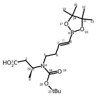 C[C@@H](CC(=O)O)N(CC/C=C/B1OC(C)(C)C(C)(C)O1)C(=O)OC(C)(C)C